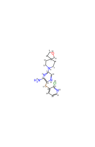 Nc1nc(N2CCC3(CCOC3)CC2)cnc1Sc1cccnc1Cl